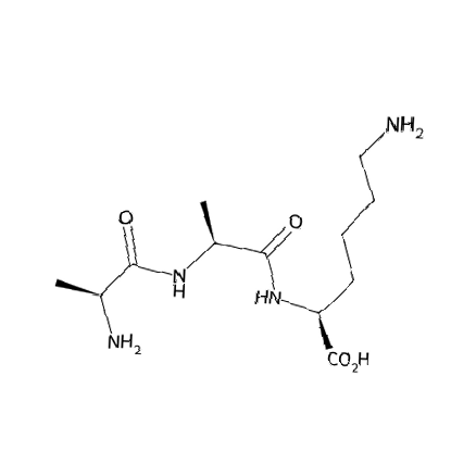 C[C@H](N)C(=O)N[C@@H](C)C(=O)N[C@@H](CCCCN)C(=O)O